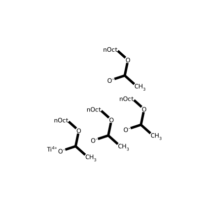 CCCCCCCCOC(C)[O-].CCCCCCCCOC(C)[O-].CCCCCCCCOC(C)[O-].CCCCCCCCOC(C)[O-].[Ti+4]